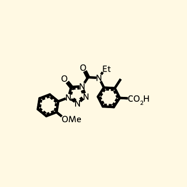 CCN(C(=O)n1nnn(-c2ccccc2OC)c1=O)c1cccc(C(=O)O)c1C